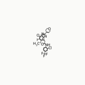 CCc1c(I)c(=O)n2nc(C3=CCOCC3)nc2n1CC(=O)Nc1ccc(C(F)(F)F)cc1Cl